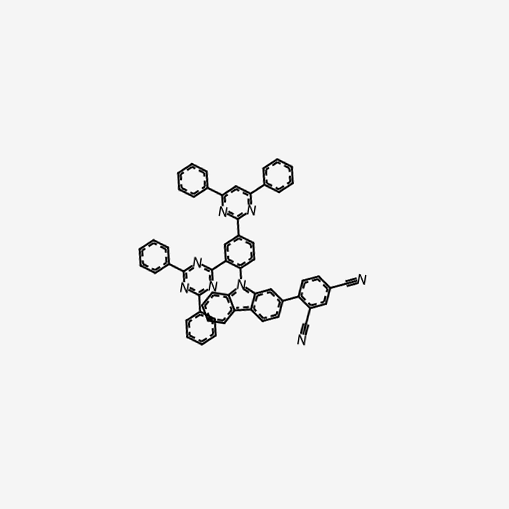 N#Cc1ccc(-c2ccc3c4ccccc4n(-c4ccc(-c5nc(-c6ccccc6)cc(-c6ccccc6)n5)cc4-c4nc(-c5ccccc5)nc(-c5ccccc5)n4)c3c2)c(C#N)c1